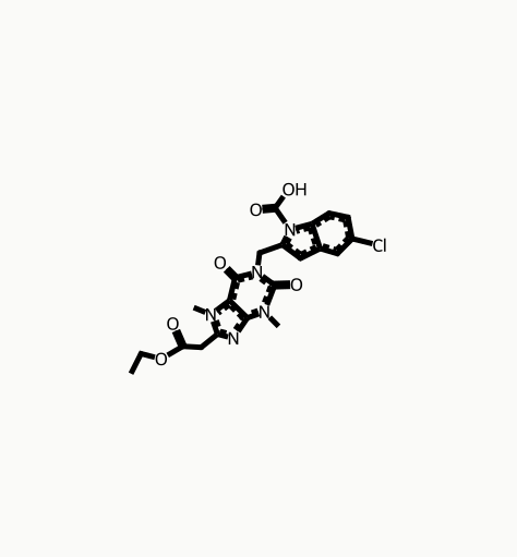 CCOC(=O)Cc1nc2c(c(=O)n(Cc3cc4cc(Cl)ccc4n3C(=O)O)c(=O)n2C)n1C